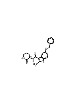 Cc1oc2ccc(OCc3ccccc3)cc2c1C(=O)N[C@@H]1CCCNC1=O